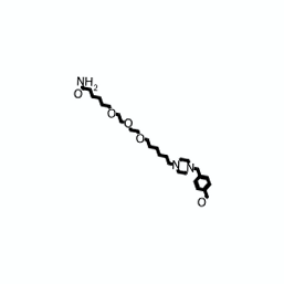 NC(=O)CCCCCOCCOCCOCCCCCCN1CCN(Cc2ccc(C=O)cc2)CC1